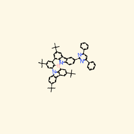 CC(C)(C)c1cc2c3c(c1)-n1c4ccc(C(C)(C)C)cc4c4cc(C(C)(C)C)cc(c41)B3n1c3ccc(-c4nc(-c5ccccc5)cc(-c5ccccc5)n4)cc3c3cc(C(C)(C)C)cc-2c31